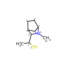 CC(S)C1C2CCC(C2)N1C